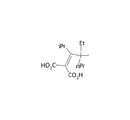 CCCC(C)(CC)C(=C(C(=O)O)C(=O)O)C(C)C